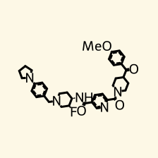 COc1ccc(C(=O)C2CCN(C(=O)c3ccc(C(=O)N[C@H]4CCN(Cc5ccc(N6CCCC6)cc5)C[C@@H]4F)cn3)CC2)cc1